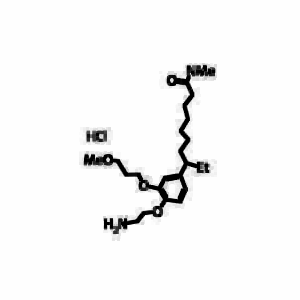 CCC(CCCCCCC(=O)NC)c1ccc(OCCN)c(OCCCOC)c1.Cl